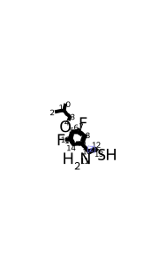 CC(C)COc1c(F)cc(/C(N)=C/S)cc1F